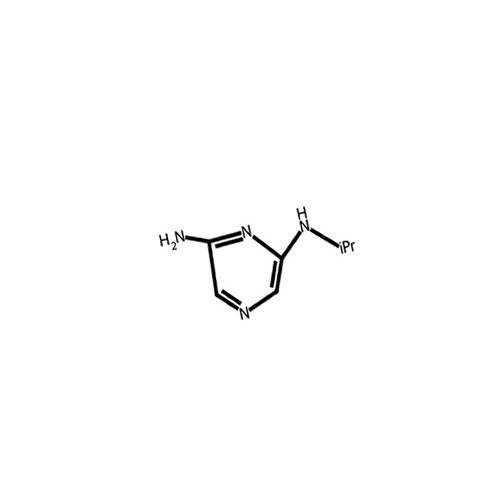 CC(C)Nc1cncc(N)n1